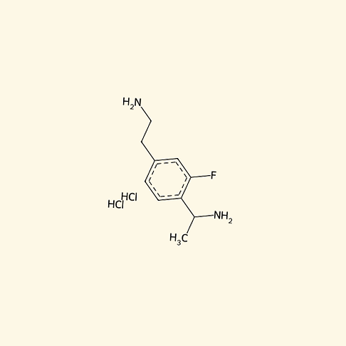 CC(N)c1ccc(CCN)cc1F.Cl.Cl